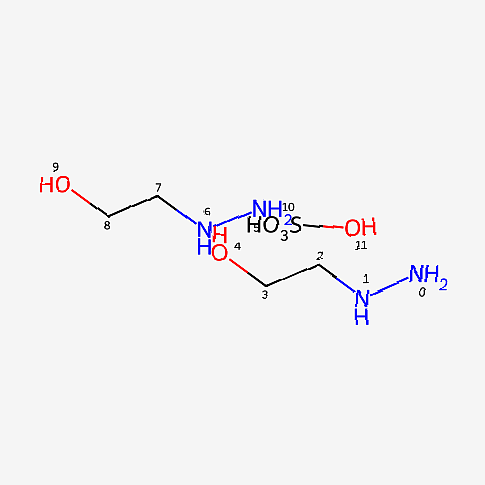 NNCCO.NNCCO.O=S(=O)(O)O